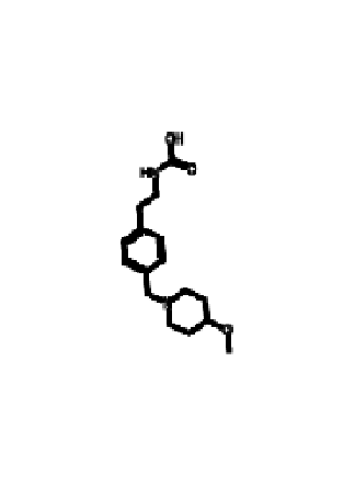 COC1CCN(Cc2ccc(CCNC(=O)O)cc2)CC1